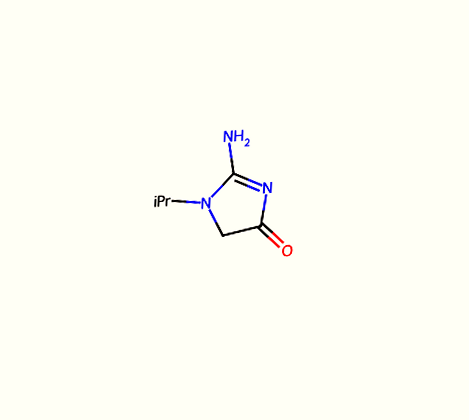 CC(C)N1CC(=O)N=C1N